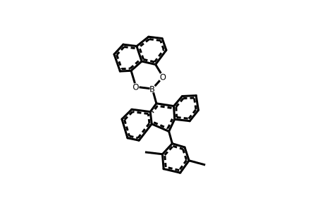 Cc1ccc(C)c(-c2c3ccccc3c(B3Oc4cccc5cccc(c45)O3)c3ccccc23)c1